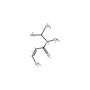 C/C=C\C(=O)N(C)C(C)O